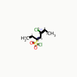 C=C/C(=C\C(Cl)=C/C)S(=O)(=O)Cl